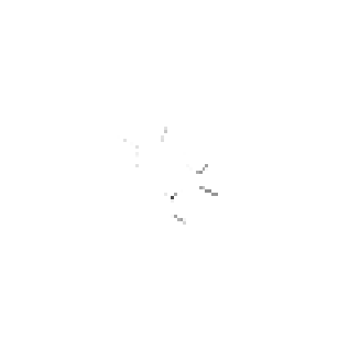 C=CC(=O)NCOCC.C=CC(=O)OCCCC